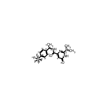 C[C@@H](NC(=O)c1cc(=O)[nH]c(N(C)C)n1)c1ccc(S(F)(F)(F)(F)F)cc1